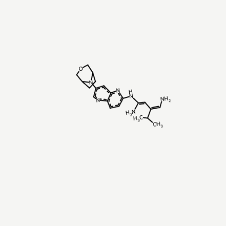 CC(C)C(=C/N)/C=C(\N)Nc1ccc2ncc(N3C4CCC3COC4)cc2n1